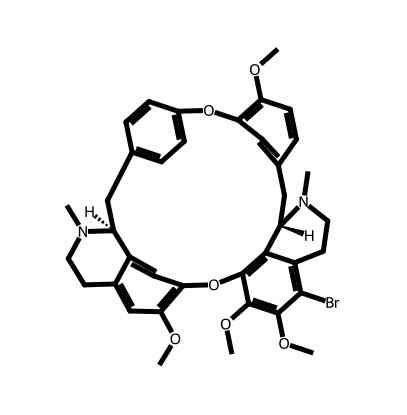 COc1ccc2cc1Oc1ccc(cc1)C[C@H]1c3cc(c(OC)cc3CCN1C)Oc1c(OC)c(OC)c(Br)c3c1[C@H](C2)N(C)CC3